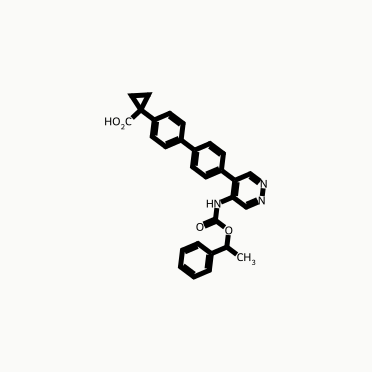 CC(OC(=O)Nc1cnncc1-c1ccc(-c2ccc(C3(C(=O)O)CC3)cc2)cc1)c1ccccc1